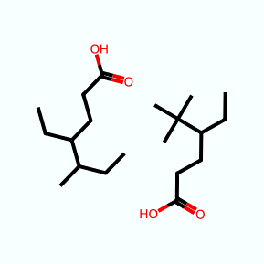 CCC(C)C(CC)CCC(=O)O.CCC(CCC(=O)O)C(C)(C)C